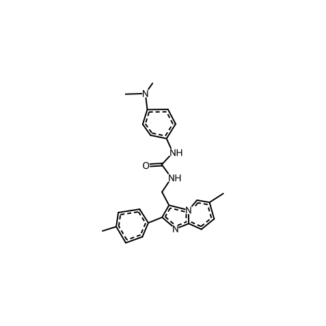 Cc1ccc(-c2nc3ccc(C)cn3c2CNC(=O)Nc2ccc(N(C)C)cc2)cc1